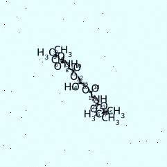 CC(C)(C)OC(=O)NCC(=O)OCC(O)COC(=O)CNC(=O)OC(C)(C)C